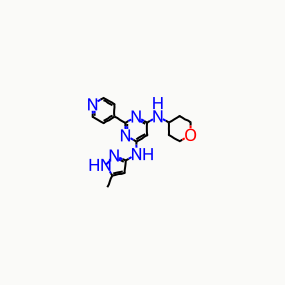 Cc1cc(Nc2cc(NC3CCOCC3)nc(-c3ccncc3)n2)n[nH]1